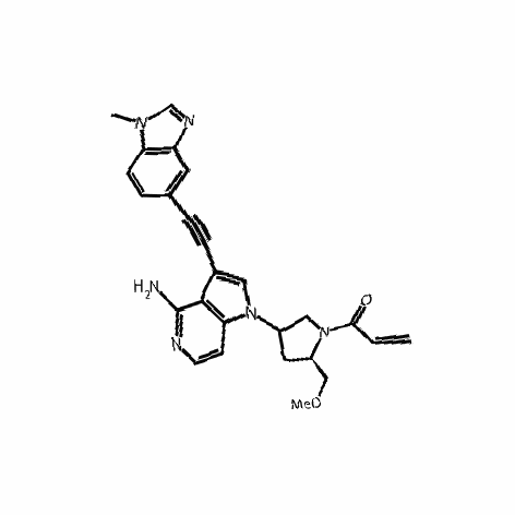 C=CC(=O)N1CC(n2cc(C#Cc3ccc4c(c3)ncn4C)c3c(N)nccc32)C[C@@H]1COC